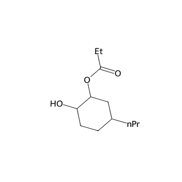 CCCC1CCC(O)C(OC(=O)CC)C1